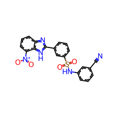 N#Cc1cccc(NS(=O)(=O)c2cccc(-c3nc4cccc([N+](=O)[O-])c4[nH]3)c2)c1